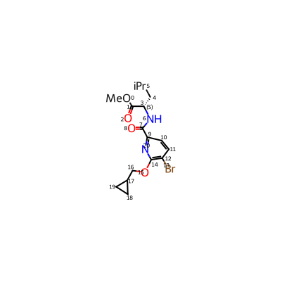 COC(=O)[C@H](CC(C)C)NC(=O)c1ccc(Br)c(OCC2CC2)n1